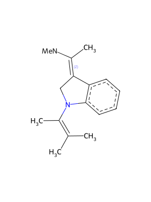 CN/C(C)=C1\CN(C(C)=C(C)C)c2ccccc21